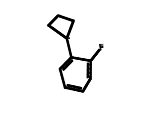 Fc1ccccc1[C]1CCC1